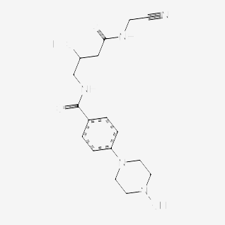 CC(CNC(=O)c1ccc(N2CCN(C)CC2)cc1)CC(=O)NCC#N